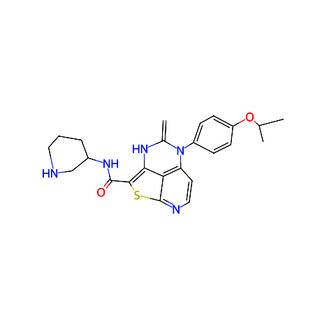 C=c1[nH]c2c(C(=O)NC3CCCNC3)sc3nccc(c32)n1-c1ccc(OC(C)C)cc1